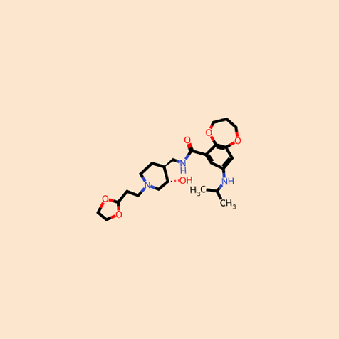 CC(C)Nc1cc2c(c(C(=O)NC[C@@H]3CCN(CCC4OCCO4)C[C@H]3O)c1)OCCCO2